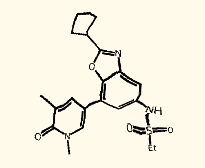 CCS(=O)(=O)Nc1cc(-c2cc(C)c(=O)n(C)c2)c2oc(C3CCC3)nc2c1